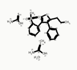 C.CCCc1scc(-c2ccccc2S(C)(=O)=O)c1-c1ccccc1.NC(O)=S.NC(O)=S.O